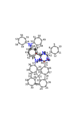 c1ccc(-c2nc(-c3ccccc3)nc(-c3ccc4c(c3)C3(c5ccccc5-4)c4ccccc4-c4ccc(-n5c6ccccc6c6c7c8ccccc8n(-c8ccccc8)c7ccc65)cc43)n2)cc1